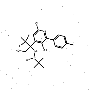 CC(C)(C)[S+]([O-])N[C@@](CO)(c1cc(Cl)nc(-c2ccc(F)cc2)c1O)C(F)(F)F